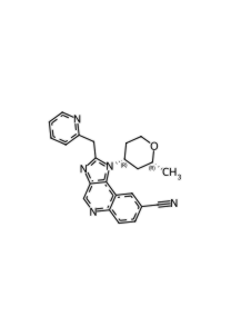 C[C@@H]1C[C@H](n2c(Cc3ccccn3)nc3cnc4ccc(C#N)cc4c32)CCO1